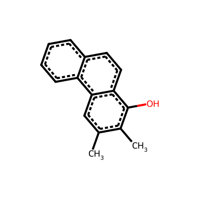 Cc1cc2c(ccc3ccccc32)c(O)c1C